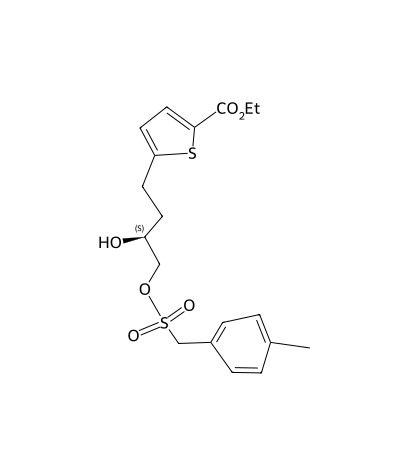 CCOC(=O)c1ccc(CC[C@H](O)COS(=O)(=O)Cc2ccc(C)cc2)s1